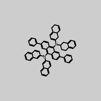 C1=CC2CC(N(c3c4ccc(-c5ccccc5)cc4c(N(c4ccc5ccccc5c4)c4ccc5ccccc5c4)c4ccc(-c5ccccc5)cc34)C3CCc4ccccc4C3)=CC=C2CC1